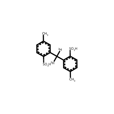 [2H]C([2H])(c1cc(C)ccc1S(=O)(=O)O)c1cc(C)ccc1S(=O)(=O)O